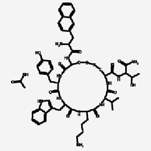 CC(=O)O.CC(C)C1NC(=O)C(CCCCN)NC(=O)C(Cc2c[nH]c3ccccc23)NC(=O)C(Cc2ccc(O)cc2)NC(=O)C(NC(=O)C(N)Cc2ccc3ccccc3c2)CSSCC(C(=O)NC(C(N)=O)C(C)O)NC1=O